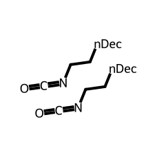 CCCCCCCCCCCCN=C=O.CCCCCCCCCCCCN=C=O